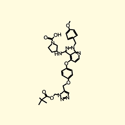 COc1ccc(Cn2nc(NC3CCN(C(=O)O)C3)c3c(Oc4ccc(OCc5cnnn5COC(=O)C(C)(C)C)cc4)ccnc32)cc1